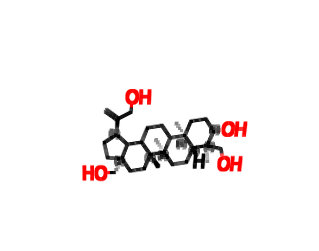 C=C(CO)[C@@H]1CC[C@]2(CO)CC[C@]3(C)C(CCC4[C@@]5(C)CC[C@H](O)[C@@](C)(CO)[C@@H]5CC[C@]43C)C12